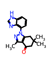 Cc1nn(-c2cccc3[nH]cnc23)c2c1C(=O)CC(C)(C)C2